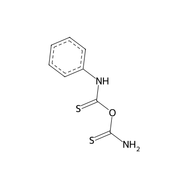 NC(=S)OC(=S)Nc1ccccc1